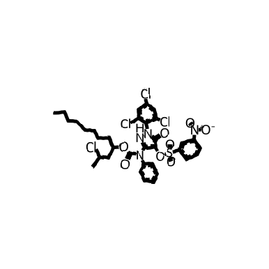 CCCCCCCCC(CC(C)Cl)OC(=O)N(c1ccccc1)c1[nH]n(-c2c(Cl)cc(Cl)cc2Cl)c(=O)c1OS(=O)(=O)c1cccc([N+](=O)[O-])c1